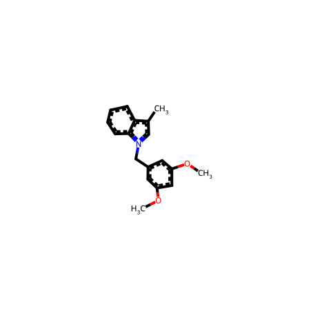 COc1cc(Cn2cc(C)c3ccccc32)cc(OC)c1